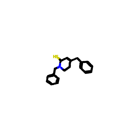 SC1CC(Cc2ccccc2)CCN1Cc1ccccc1